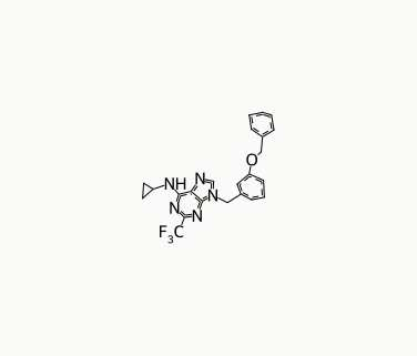 FC(F)(F)c1nc(NC2CC2)c2ncn(Cc3cccc(OCc4ccccc4)c3)c2n1